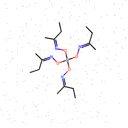 CCC(C)=NO[Si](ON=C(C)CC)(ON=C(C)CC)ON=C(C)CC